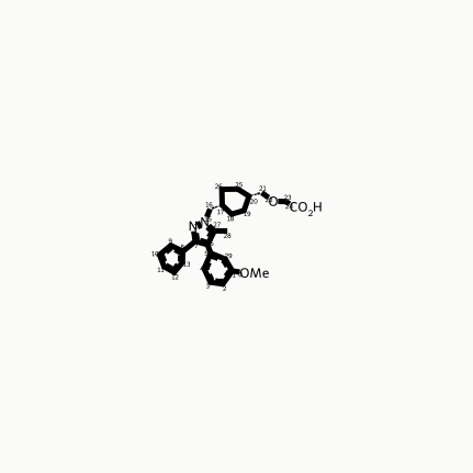 COc1cccc(-c2c(-c3ccccc3)nn(C[C@H]3CC[C@@H](COCC(=O)O)CC3)c2C)c1